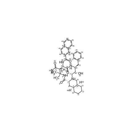 CC(C)(C)NC(=O)[C@H]1C[C@@H]2CCCC[C@@H]2CN1C[C@@H](O)[C@H](Cc1ccccc1)NC(=O)[C@@H](CC(N)=O)NC(=O)c1ccc2ccccc2n1